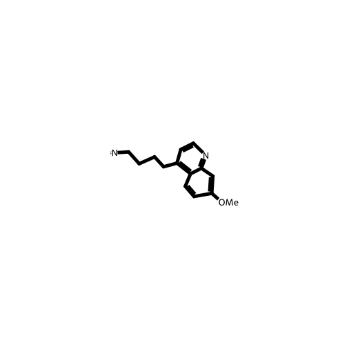 COc1ccc2c(CCCC[N])ccnc2c1